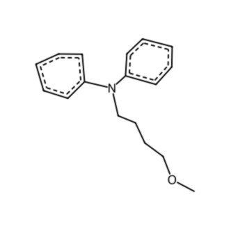 COCCCCN(c1ccccc1)c1ccccc1